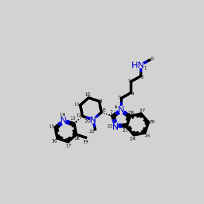 CNCCCCn1c([C@H]2CCC[C@@H](c3ncccc3C)N2C)nc2ccccc21